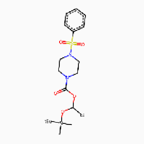 CCC(OC(=O)N1CCN(S(=O)(=O)c2ccccc2)CC1)O[Si](C)(C)C(C)(C)C